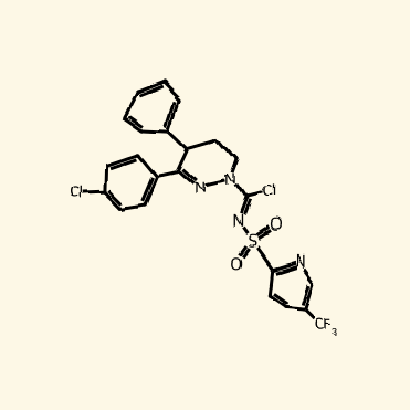 O=S(=O)(N=C(Cl)N1CCC(c2ccccc2)C(c2ccc(Cl)cc2)=N1)c1ccc(C(F)(F)F)cn1